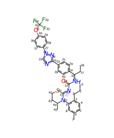 CCCc1ccc(C)cc1N1/C(=N/C(=O)NC(CC)c2ccc(-c3ncn(-c4ccc(OC(F)(F)F)cc4)n3)cc2)SCCC1C